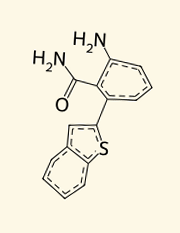 NC(=O)c1c(N)cccc1-c1cc2ccccc2s1